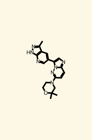 Cc1n[nH]c2ncc(-c3cnc4ccc(N5CCOC(C)(C)C5)nn34)cc12